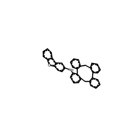 c1ccc2c(c1)Cc1ccccc1-c1c(cccc1Nc1ccc3oc4ccccc4c3c1)Cc1ccccc1-2